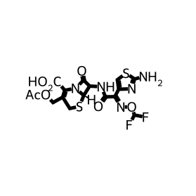 CC(=O)OCC1=C(C(=O)O)N2C(=O)C(NC(=O)/C(=N/OC(F)F)c3csc(N)n3)[C@H]2SC1